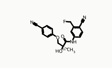 C[C@](O)(COc1ccc(C#N)cc1)C(=O)Nc1ccc(C#N)c(CF)c1